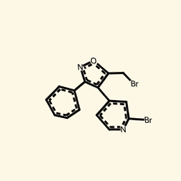 BrCc1onc(-c2ccccc2)c1-c1ccnc(Br)c1